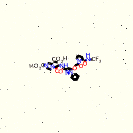 O=C(O)CC[C@H](NC(=O)c1cc(OCC(=O)N2CCC[C@H]2C(=O)NCC(F)(F)F)n(-c2ccccc2)n1)C(=O)N1CCN(C(=O)O)CC1